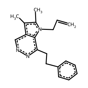 C=CCn1c(C)c(C)c2cnnc(CCc3ccccc3)c21